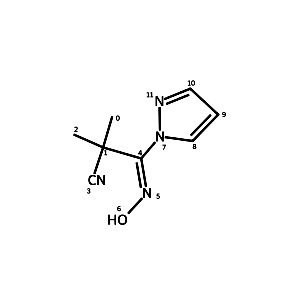 CC(C)(C#N)C(=NO)n1cccn1